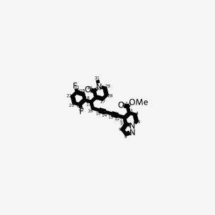 COC(=O)c1ccn2nccc2c1C#CC#CCC(c1cc(F)ccc1F)c1cccn(C)c1=O